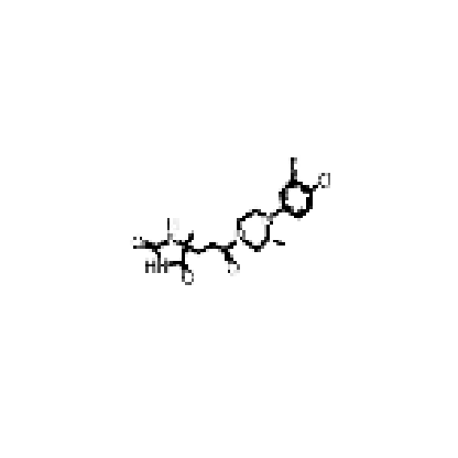 C[C@H]1CN(C(=O)CCC2(C)NC(=O)NC2=O)CCN1c1ccc(Cl)c(F)c1